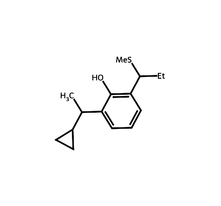 CCC(SC)c1cccc(C(C)C2CC2)c1O